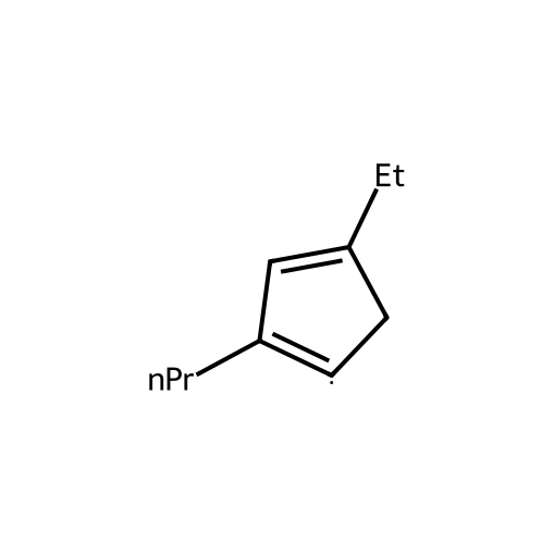 CCCC1=[C]CC(CC)=C1